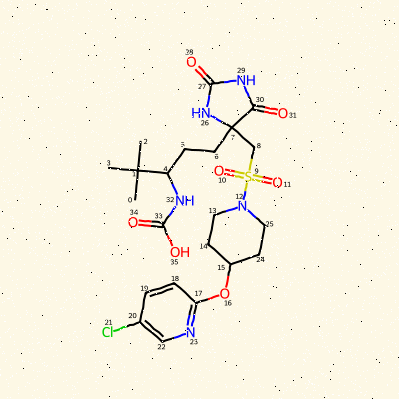 CC(C)(C)C(CCC1(CS(=O)(=O)N2CCC(Oc3ccc(Cl)cn3)CC2)NC(=O)NC1=O)NC(=O)O